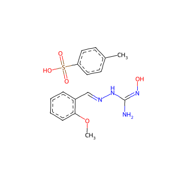 COc1ccccc1/C=N/N/C(N)=N\O.Cc1ccc(S(=O)(=O)O)cc1